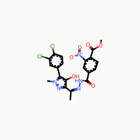 COC(=O)c1ccc(C(=O)NN=C(C)c2nn(C)c(-c3ccc(Cl)c(Cl)c3)c2O)cc1[N+](=O)[O-]